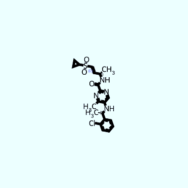 Cc1nc(C(=O)N[C@H](C)/C=C/S(=O)(=O)C2CC2)ncc1N[C@@H](C)c1ccccc1Cl